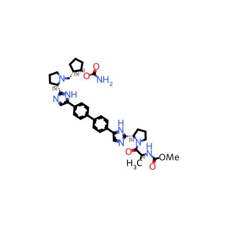 COC(=O)N[C@@H](C)C(=O)N1CCC[C@H]1c1ncc(-c2ccc(-c3ccc(-c4cnc([C@@H]5CCCN5C[C@@H]5CCC[C@@H]5OC(N)=O)[nH]4)cc3)cc2)[nH]1